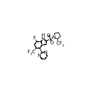 O=S(=O)(c1cc2c(-c3ncccn3)c(C(F)(F)F)cc(F)c2[nH]1)N1CCC[C@H]1C(F)(F)F